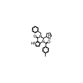 Cc1ccc(C(=O)N2c3cc[nH]c3C(=O)N(Cc3ccccc3)C2C2CCCN2)cc1